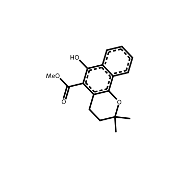 COC(=O)c1c2c(c3ccccc3c1O)OC(C)(C)CC2